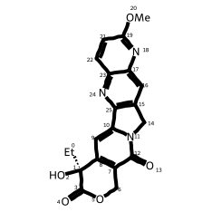 CC[C@@]1(O)C(=O)OCc2c1cc1n(c2=O)Cc2cc3nc(OC)ccc3nc2-1